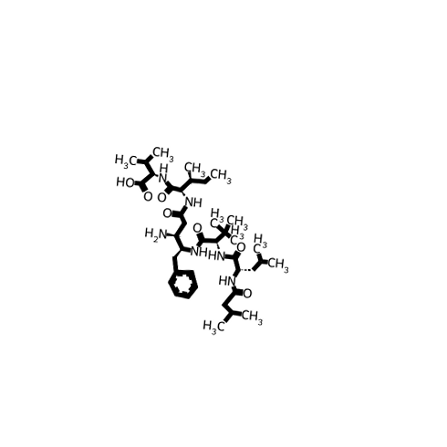 CC[C@H](C)[C@H](NC(=O)C[C@H](N)[C@H](Cc1ccccc1)NC(=O)[C@@H](NC(=O)[C@H](CC(C)C)NC(=O)CC(C)C)C(C)(C)C)C(=O)N[C@H](C(=O)O)C(C)C